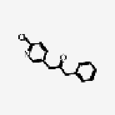 O=C(Cc1ccccc1)Cc1ccc(Cl)nc1